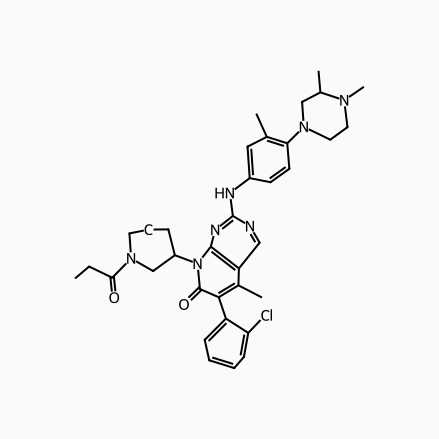 CCC(=O)N1CCCC(n2c(=O)c(-c3ccccc3Cl)c(C)c3cnc(Nc4ccc(N5CCN(C)C(C)C5)c(C)c4)nc32)C1